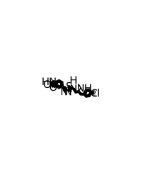 N[C@H](CNc1nnc(-c2ccc3[nH]c(=O)oc3c2)s1)Cc1ccc(Cl)cc1